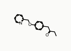 CCC(=O)Cc1ccc(OCc2ccccn2)cc1